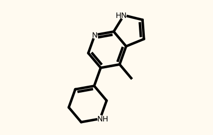 Cc1c(C2=CCCNC2)cnc2[nH]ccc12